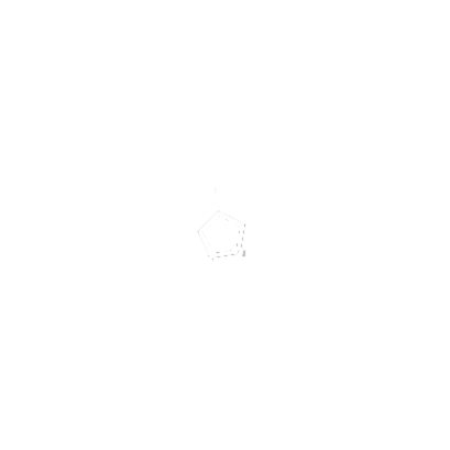 [Ag].c1cn[nH]c1